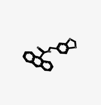 O=C(NCc1ccc2c(c1)OCO2)c1c2ccccc2cc2ccccc12